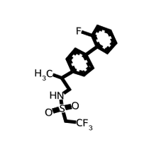 CC(CNS(=O)(=O)CC(F)(F)F)c1ccc(-c2ccccc2F)cc1